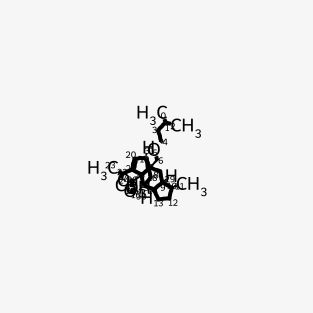 CC(C)CCOC[C@]12C[C@H]3[C@@H](C)CC[C@@H]3[C@]3(C=O)C[C@H]1C=C(C(C)C)[C@]23C(=O)O